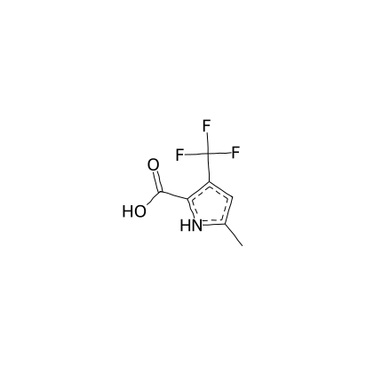 Cc1cc(C(F)(F)F)c(C(=O)O)[nH]1